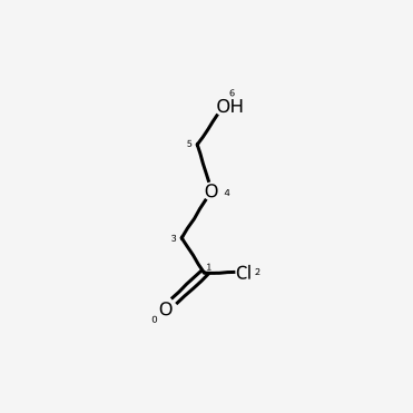 O=C(Cl)COCO